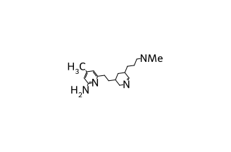 CNCCCC1C=NCC(CCc2cc(C)cc(N)n2)C1